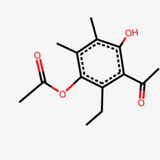 CCc1c(OC(C)=O)c(C)c(C)c(O)c1C(C)=O